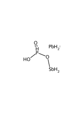 O=[PH](O)[O][SbH2].[PbH2]